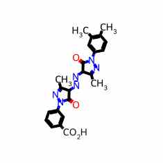 CC1=NN(c2cccc(C(=O)O)c2)C(=O)C1/N=N/C1C(=O)N(c2ccc(C)c(C)c2)N=C1C